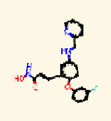 O=C(C=Cc1cc(NCc2ccccn2)ccc1Oc1cccc(F)c1)NO